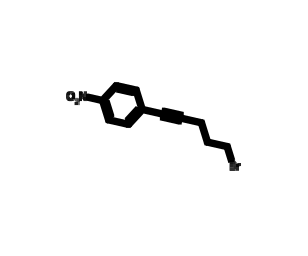 O=[N+]([O-])c1ccc(C#CCCCBr)cc1